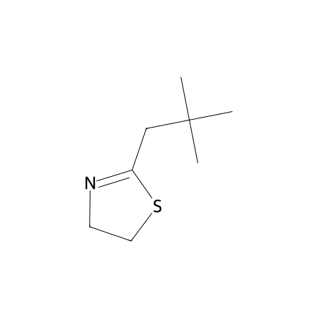 CC(C)(C)CC1=NCCS1